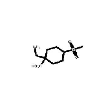 CS(=O)(=O)C1CCC(CN)(C(=O)O)CC1